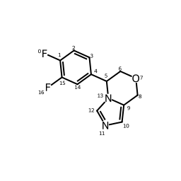 Fc1ccc(C2COCc3cncn32)cc1F